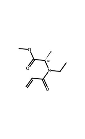 C=CC(=O)N(CC)[C@@H](C)C(=O)OC